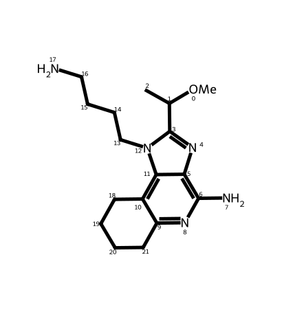 COC(C)c1nc2c(N)nc3c(c2n1CCCCN)CCCC3